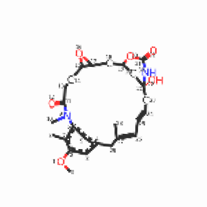 COc1cc2cc(c1C)N(C)C(=O)CCC1OC1CC1C[C@](O)(C/C=C/C=C(\C)C2)NC(=O)O1